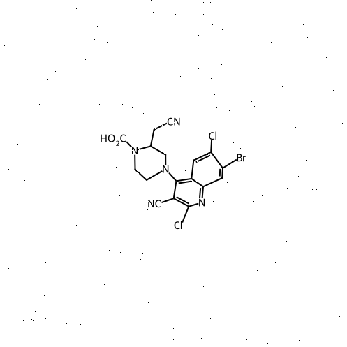 N#CCC1CN(c2c(C#N)c(Cl)nc3cc(Br)c(Cl)cc23)CCN1C(=O)O